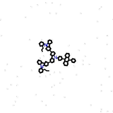 CCCc1ccccc1-n1c2ccccc2c2cc(-c3ccc4c(c3)c3cc(-c5ccc6c(c5)c5ccccc5n6-c5ccccc5CCC)ccc3n4-c3ccc(-c4c5ccccc5c(-c5ccccc5)c5ccccc45)cc3)ccc21